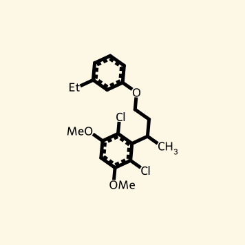 CCc1cccc(OCCC(C)c2c(Cl)c(OC)cc(OC)c2Cl)c1